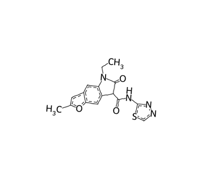 CCN1C(=O)C(C(=O)Nc2nncs2)c2cc3oc(C)cc3cc21